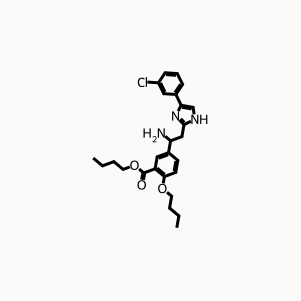 CCCCOC(=O)c1cc(C(N)Cc2nc(-c3cccc(Cl)c3)c[nH]2)ccc1OCCCC